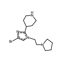 Brc1cn(CCN2CCCC2)c(C2CCNCC2)n1